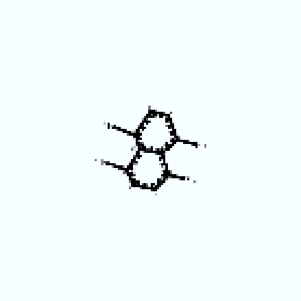 Fc1[c]cc(F)c2c(F)[c]cc(F)c12